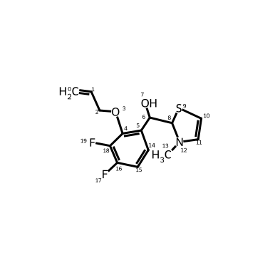 C=CCOc1c(C(O)C2SC=CN2C)ccc(F)c1F